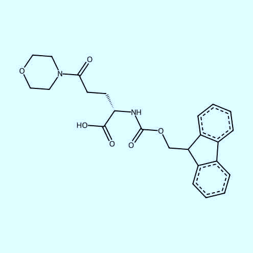 O=C(N[C@@H](CCC(=O)N1CCOCC1)C(=O)O)OCC1c2ccccc2-c2ccccc21